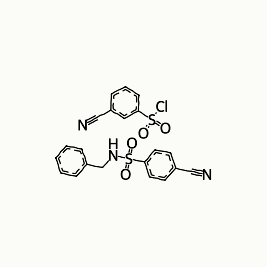 N#Cc1ccc(S(=O)(=O)NCc2ccccc2)cc1.N#Cc1cccc(S(=O)(=O)Cl)c1